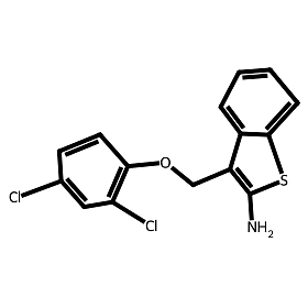 Nc1sc2ccccc2c1COc1ccc(Cl)cc1Cl